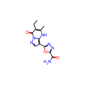 CCc1c(C)[nH]c2c(-c3nnc(C(N)=O)o3)cnn2c1=O